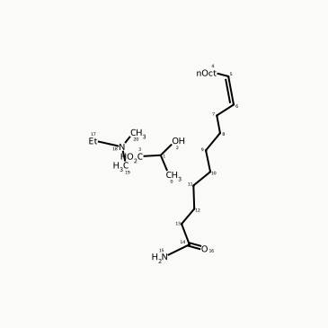 CC(O)C(=O)O.CCCCCCCC/C=C\CCCCCCCC(N)=O.CCN(C)C